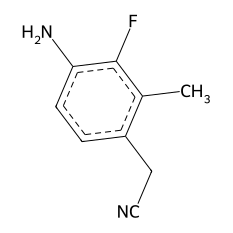 Cc1c(CC#N)ccc(N)c1F